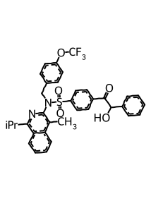 Cc1c(N(Cc2ccc(OC(F)(F)F)cc2)S(=O)(=O)c2ccc(C(=O)C(O)c3ccccc3)cc2)nc(C(C)C)c2ccccc12